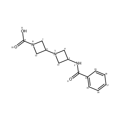 O=C(NC1CN(C2CN(C(=O)O)C2)C1)c1ccccc1